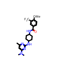 COc1ccc(C(=O)NC2CCC(Nc3nc(C)cc(N(C)C)n3)CC2)cc1C(F)(F)F